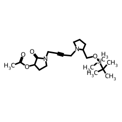 CC(=O)OC1CCN(CC#CCN2CCCC2CO[Si](C)(C)C(C)(C)C)C1=O